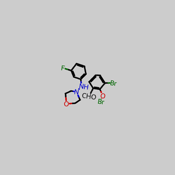 Fc1cccc(NN2CCOCC2)c1.O=Cc1cccc(Br)c1OBr